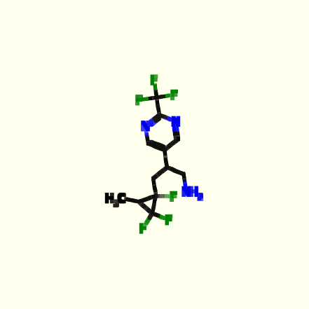 CC1C(F)(F)C1(F)CC(CN)c1cnc(C(F)(F)F)nc1